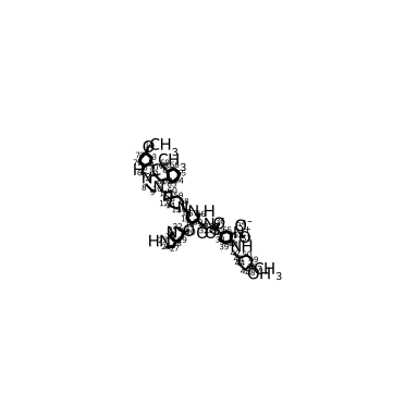 COc1ccc(CN2CCN(C3CC4(CCN(c5cc(Oc6cnc7[nH]ccc7c6)c(C(=O)NS(=O)(=O)c6ccc(NCC7CCC(C)(O)CC7)c([N+](=O)[O-])c6)cn5)CC4)C3)C(c3ccccc3C(C)C)C2)cc1